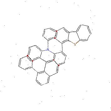 c1ccc(-c2cccc3cccc(-c4ccccc4N(c4ccccc4)c4ccccc4-c4cccc5c4sc4ccccc45)c23)cc1